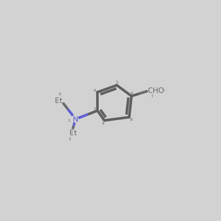 CCN(CC)c1ccc([C]=O)cc1